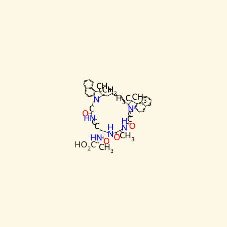 C[C@H](NC(=O)[C@@H]1CCCNC(=O)CCN2/C(=C/C=C/C=C/C3=[N+](CCC(=O)N[C@@H](C)C(=O)N1)c1ccc4ccccc4c1C3(C)C)C(C)(C)c1c2ccc2ccccc12)C(=O)O